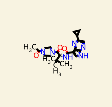 CC(=O)N1CCN(C(=O)[C@H](NC(=O)c2c[nH]c3ncc(C4CC4)nc23)C(C)(C)C)CC1